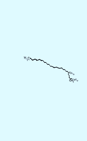 CCCCCCCCCCCCCCCCCCCCCCC(C)CCCC(C)CC